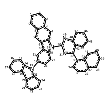 c1ccc2cc3c(cc2c1)c1cc(-n2c4ccccc4c4ccccc42)ccc1n3-c1nc(-c2cccc3ccccc23)c2ccccc2n1